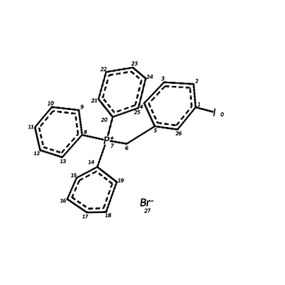 Ic1cccc(C[P+](c2ccccc2)(c2ccccc2)c2ccccc2)c1.[Br-]